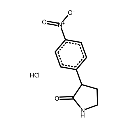 Cl.O=C1NCCC1c1ccc([N+](=O)[O-])cc1